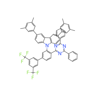 Cc1cc(C)cc(-c2ccc3c(c2)c2cc(-c4cc(C)cc(C)c4)ccc2n3-c2cc(-c3cc(C(F)(F)F)cc(C(F)(F)F)c3)ccc2-c2nc(-c3ccccc3)nc(-c3ccccc3)n2)c1